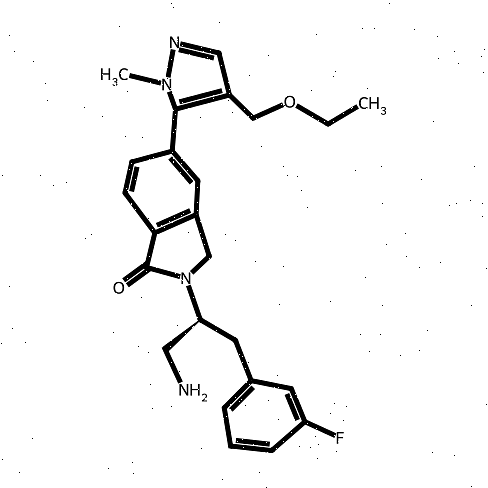 CCOCc1cnn(C)c1-c1ccc2c(c1)CN([C@H](CN)Cc1cccc(F)c1)C2=O